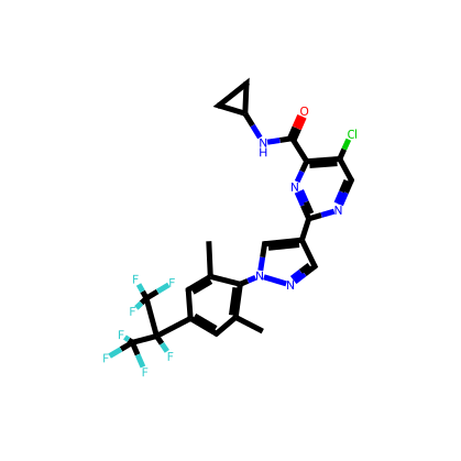 Cc1cc(C(F)(C(F)(F)F)C(F)(F)F)cc(C)c1-n1cc(-c2ncc(Cl)c(C(=O)NC3CC3)n2)cn1